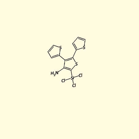 Nc1c([Si](Cl)(Cl)Cl)sc(-c2cccs2)c1-c1cccs1